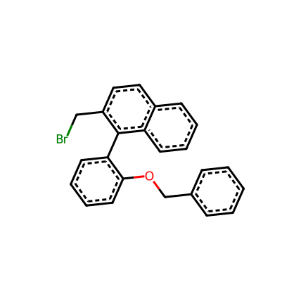 BrCc1ccc2ccccc2c1-c1ccccc1OCc1ccccc1